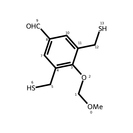 COCOc1c(CS)cc(C=O)cc1CS